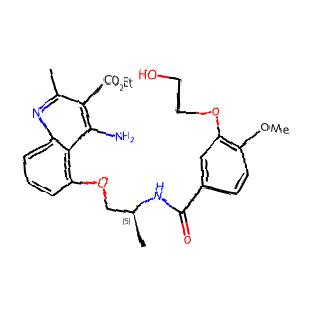 CCOC(=O)c1c(C)nc2cccc(OC[C@H](C)NC(=O)c3ccc(OC)c(OCCO)c3)c2c1N